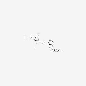 COc1cc2nccc(N3CCN(Cc4cc(F)cc(C=NO)c4O)CC3)c2cc1OC